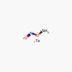 O=NO[SiH3].[Ta]